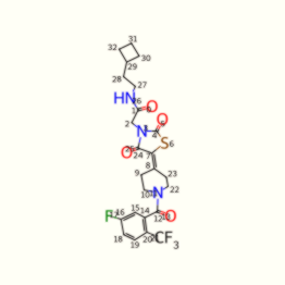 O=C(CN1C(=O)SC(=C2CCN(C(=O)c3cc(F)ccc3C(F)(F)F)CC2)C1=O)NCCC1CCC1